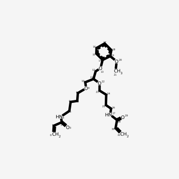 C=CC(=O)NCCCCOCC(COc1ccccc1OC)OCCCCNC(=O)C=C